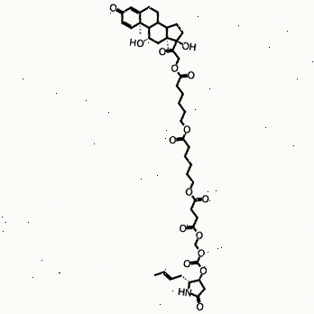 C/C=C/C[C@H]1NC(=O)C[C@@H]1OC(=O)OCOC(=O)CCC(=O)OCCCCCC(=O)OCCCCCC(=O)OCC(=O)[C@@]1(O)CCC2C3CCC4=CC(=O)C=C[C@]4(C)C3[C@@H](O)C[C@@]21C